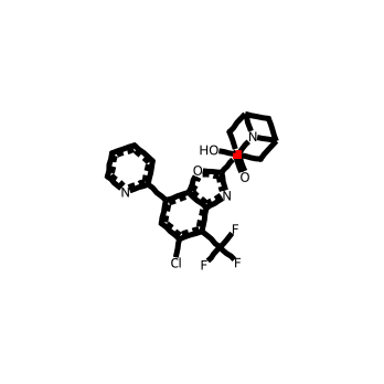 O=C(O)N1C2CC1CN(c1nc3c(C(F)(F)F)c(Cl)cc(-c4ccccn4)c3o1)C2